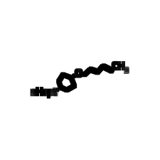 CC=CC=CCO[C@H]1CC[C@H](CCCCCCC)CC1